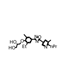 CCCc1ncc(-c2nc(-c3cc(C)c(OC[C@@H](O)CO)c(CC)c3)no2)cc1C